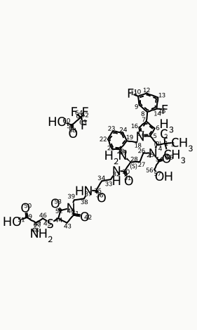 CC(C)(C)[C@H](c1cc(-c2cc(F)ccc2F)cn1Cc1ccccc1)N(CC[C@H](N)C(=O)NCCC(=O)NCCN1C(=O)CC(SC[C@H](N)C(=O)O)C1=O)C(=O)CO.O=C(O)C(F)(F)F